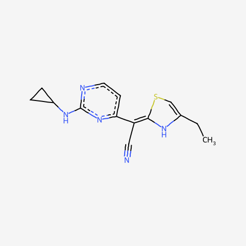 CCC1=CS/C(=C(/C#N)c2ccnc(NC3CC3)n2)N1